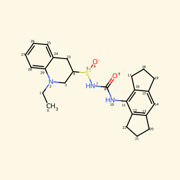 CCN1CC([S+]([O-])NC(=O)Nc2c3c(cc4c2CCC4)CCC3)Cc2ccccc21